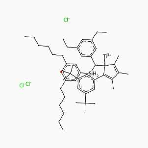 CCCCCCc1cc(CCCCCC)cc([SiH2]C(c2cc(CC)cc(CC)c2)[C]2([Ti+3])C(C)=C(C)C(C)=C2c2cc(C(C)(C)C)cc(C(C)(C)C)c2)c1.[Cl-].[Cl-].[Cl-]